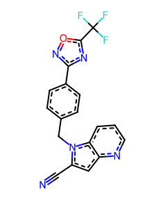 N#Cc1cc2ncccc2n1Cc1ccc(-c2noc(C(F)(F)F)n2)cc1